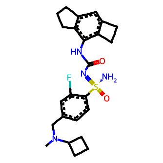 CN(Cc1ccc([S@](N)(=O)=NC(=O)Nc2c3c(cc4c2CC4)CCC3)c(F)c1)C1CCC1